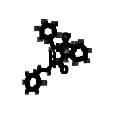 O=C(NCCc1ccccc1)C1c2ccccc2C(=O)N1Cc1ccccc1